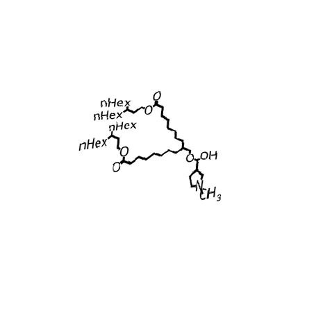 CCCCCCC(CCCCCC)CCOC(=O)CCCCCCCC(CCCCCCCC(=O)OCCC(CCCCCC)CCCCCC)COC(O)C1CCN(C)C1